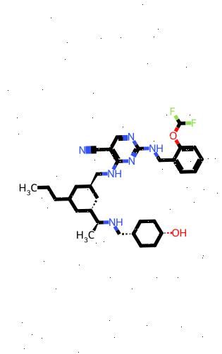 CCCC1C[C@@H](CNc2nc(NCc3ccccc3OC(F)F)ncc2C#N)C[C@H]([C@H](C)NC[C@H]2CC[C@@H](O)CC2)C1